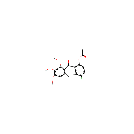 COc1cc(C)c(C(=O)c2c(OC(C)=O)ccc(Cl)c2C)c(OC)c1OC